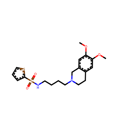 COc1cc2c(cc1OC)CN(CCCCNS(=O)(=O)c1cccs1)CC2